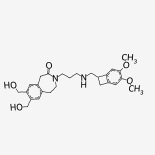 COc1cc2c(cc1OC)C(CNCCCN1CCc3cc(CO)c(CO)cc3CC1=O)C2